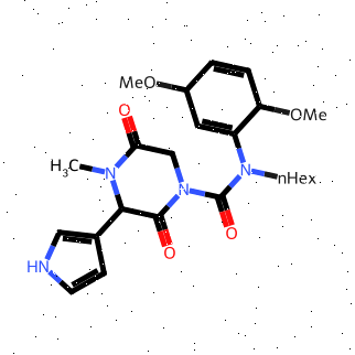 CCCCCCN(C(=O)N1CC(=O)N(C)C(c2cc[nH]c2)C1=O)C1=CC(OC)C=CC1OC